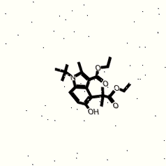 CCOC(=O)c1c(C)n(C(C)(C)C)c2ccc(O)c(C(C)(C)C(=O)OCC)c12